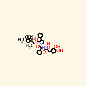 CC(CC1CCC(C)(C)C1(C)C)OC(=O)C1C(c2ccccc2)CCN1C(=O)C(NC(=O)C(O)Cc1ccc(O)c(O)c1)C1CCCCC1